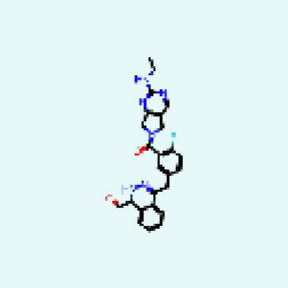 CCNc1ncc2c(n1)CN(C(=O)c1cc(CC3=NNC(C=O)c4ccccc43)ccc1F)C2